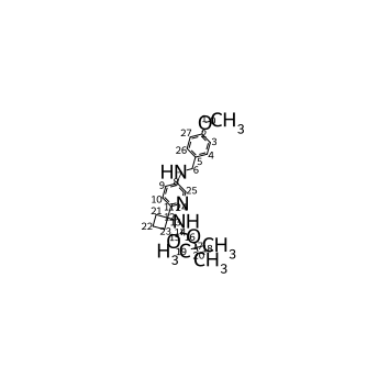 COc1ccc(CNc2ccc(C3(NC(=O)OC(C)(C)C)CCC3)nc2)cc1